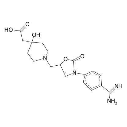 N=C(N)c1ccc(N2CC(CN3CCC(O)(CC(=O)O)CC3)OC2=O)cc1